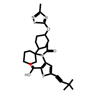 CC(=O)N(c1cc(C#CC(C)(C)C)sc1C(=O)O)C1(C2CCC(Oc3nc(C)ns3)CC2)CCCCC1